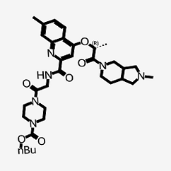 CCCCOC(=O)N1CCN(C(=O)CNC(=O)c2cc(O[C@H](C)C(=O)N3CCC4CN(C)CC4C3)c3ccc(C)cc3n2)CC1